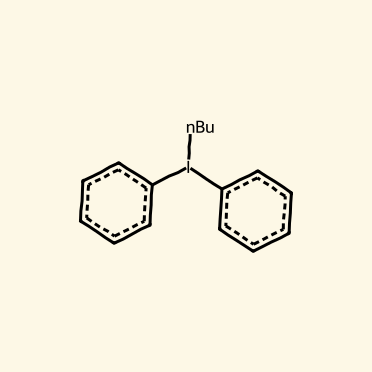 CCCCI(c1ccccc1)c1ccccc1